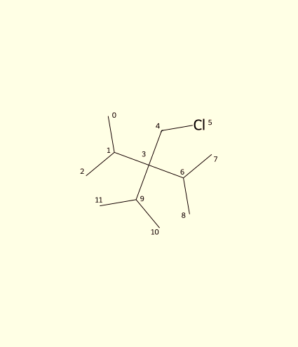 CC(C)C(CCl)(C(C)C)C(C)C